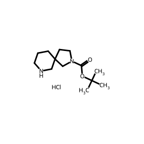 CC(C)(C)OC(=O)N1CCC2(CCCNC2)C1.Cl